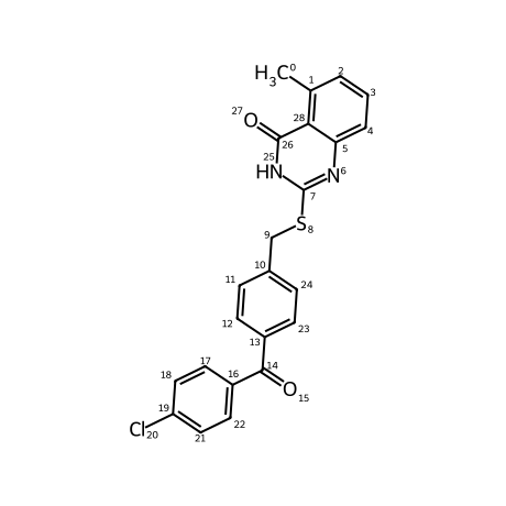 Cc1cccc2nc(SCc3ccc(C(=O)c4ccc(Cl)cc4)cc3)[nH]c(=O)c12